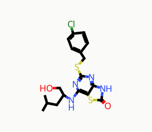 CC(C)CC(CO)Nc1nc(SCc2ccc(Cl)cc2)nc2[nH]c(=O)sc12